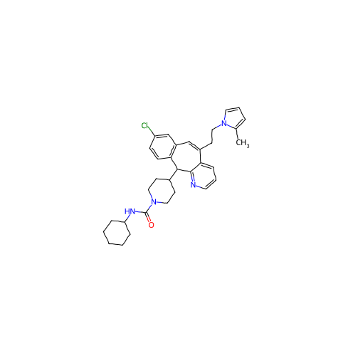 Cc1cccn1CCC1=Cc2cc(Cl)ccc2C(C2CCN(C(=O)NC3CCCCC3)CC2)c2ncccc21